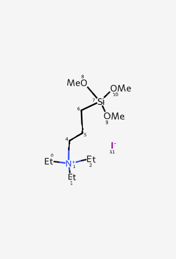 CC[N+](CC)(CC)CCC[Si](OC)(OC)OC.[I-]